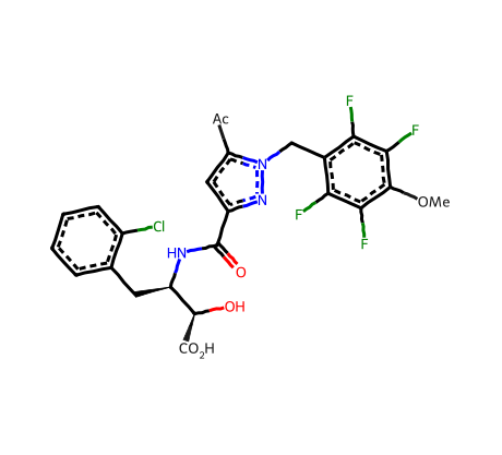 COc1c(F)c(F)c(Cn2nc(C(=O)N[C@H](Cc3ccccc3Cl)[C@@H](O)C(=O)O)cc2C(C)=O)c(F)c1F